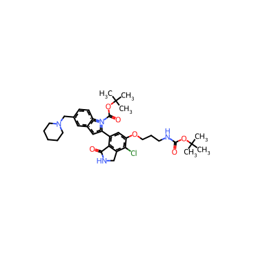 CC(C)(C)OC(=O)NCCCOc1cc(-c2cc3cc(CN4CCCCC4)ccc3n2C(=O)OC(C)(C)C)c2c(c1Cl)CNC2=O